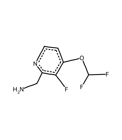 NCc1nccc(OC(F)F)c1F